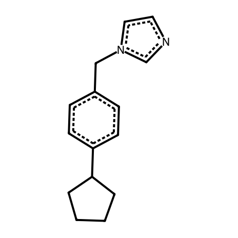 c1cn(Cc2ccc(C3CCCC3)cc2)cn1